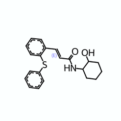 O=C(/C=C/c1ccccc1Sc1ccccc1)NC1CCCCC1O